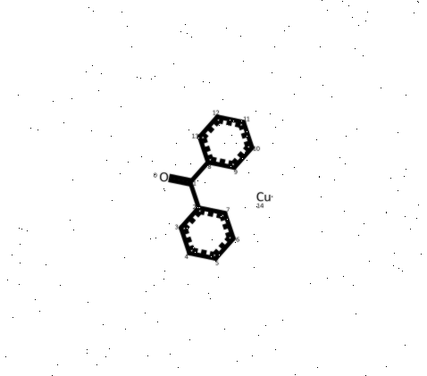 O=C(c1ccccc1)c1ccccc1.[Cu]